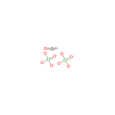 [O-][Cl+3]([O-])([O-])[O-].[O-][Cl+3]([O-])([O-])[O-].[O]=[Zr+2]